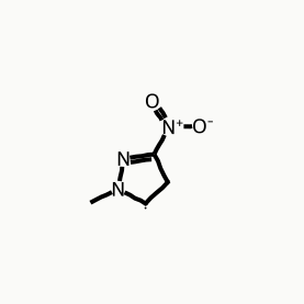 CN1[CH]CC([N+](=O)[O-])=N1